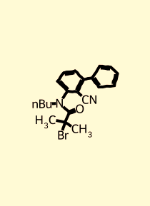 CCCCN(C(=O)C(C)(C)Br)c1cccc(-c2ccccc2)c1C#N